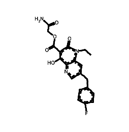 CCn1c(=O)c(C(=O)OCC(N)=O)c(O)c2ncc(Cc3ccc(F)cc3)cc21